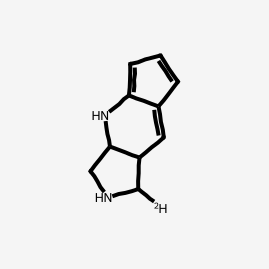 [2H]C1NCC2NC3=CC=CC3=CC12